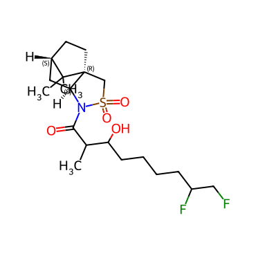 CC(C(=O)N1[C@H]2C[C@@H]3CC[C@@]2(CS1(=O)=O)C3(C)C)C(O)CCCCC(F)CF